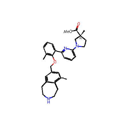 COC(=O)[C@]1(C)CCN(c2cccc(-c3cccc(C)c3OCc3cc(C)c4c(c3)CCNCC4)n2)C1